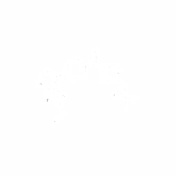 O=C(c1ccc(OC(F)(F)F)cc1)N1CCC(c2ccnc3[nH]c(CI)nc23)CC1